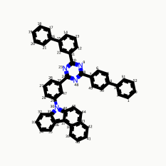 c1ccc(-c2ccc(-c3nc(-c4cccc(-c5ccccc5)c4)nc(-c4cccc(-n5c6ccccc6c6c7ccccc7ccc65)c4)n3)cc2)cc1